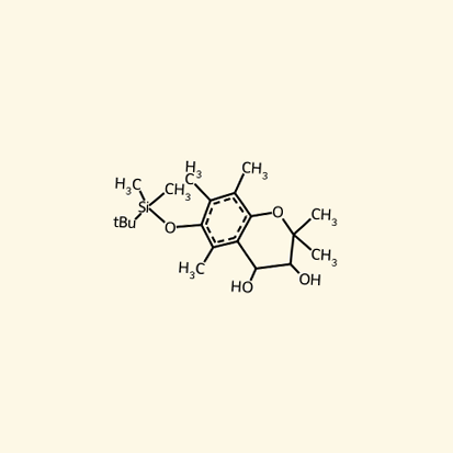 Cc1c(C)c2c(c(C)c1O[Si](C)(C)C(C)(C)C)C(O)C(O)C(C)(C)O2